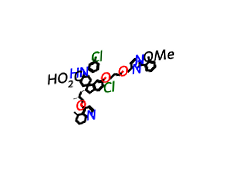 COc1ccccc1-c1nccc(COCCCOc2cc3c(cc2Cl)C[C@H](C[C@@H](C)COc2ccnc4c2[C@H](C)CCC4)C32CCC(Nc3cccc(Cl)c3)(C(=O)O)CC2)n1